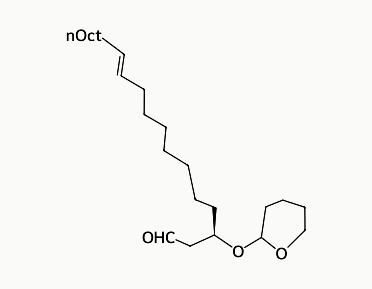 CCCCCCCCC=CCCCCCCC[C@H](CC=O)OC1CCCCO1